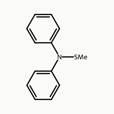 CSN(c1ccccc1)c1ccccc1